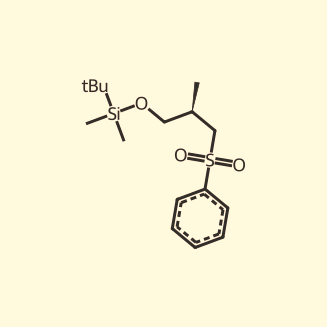 C[C@H](CO[Si](C)(C)C(C)(C)C)CS(=O)(=O)c1ccccc1